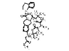 COC(=O)COc1ccc2c(c1)CN(C(=O)[C@@H](NC(=O)[C@H](C)N(C)C(=O)OC(C)(C)C)C(C)(C)C)[C@H](C(=O)N[C@@H]1CCCc3ccccc31)C2